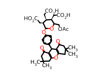 CC(=O)OCC1O[C@@H](Oc2ccc(C3C4=C(CC(C)(C)CC4=O)OC4=C3C(=O)CC(C)(C)C4)cc2)[C@@H](CC(=O)O)[C@@H](CC(=O)O)[C@H]1CC(=O)O